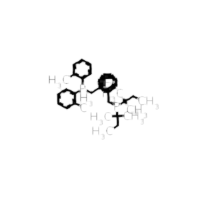 CCC(C)(C)P(C[C]12[CH]3[CH]4[CH]5[C]1(CP(c1ccccc1C)c1ccccc1C)[Fe]45321678[CH]2[CH]1[CH]6[CH]7[CH]28)C(C)(C)CC